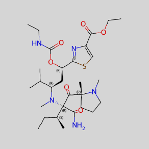 CCNC(=O)O[C@H](C[C@H](C(C)C)N(C)[C@@](C(N)=O)(C(=O)[C@@]1(C)CCCN1C)[C@@H](C)CC)c1nc(C(=O)OCC)cs1